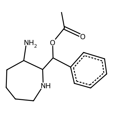 CC(=O)OC(c1ccccc1)C1NCCCCC1N